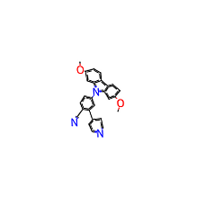 COc1ccc2c3ccc(OC)cc3n(-c3ccc(C#N)c(-c4ccncc4)c3)c2c1